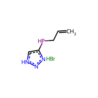 Br.C=CCPc1c[nH]nn1